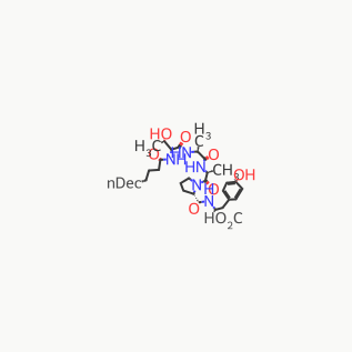 CCCCCCCCCCCCCC(=O)N[C@H](C(=O)N[C@@H](C)C(=O)N[C@@H](C)C(=O)N1CCC[C@H]1C(=O)N[C@@H](Cc1ccc(O)cc1)C(=O)O)[C@@H](C)O